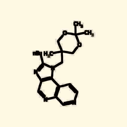 CCCCc1nc2cnc3cnccc3c2n1CC1(C)COC(C)(C)OC1